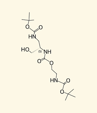 CC(C)(C)OC(=O)NCCOC(=O)N[C@H](CO)CNC(=O)OC(C)(C)C